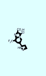 O=C(O)c1nc2c(C(F)(F)F)cc(-c3ccn[nH]3)cn2c1Cl